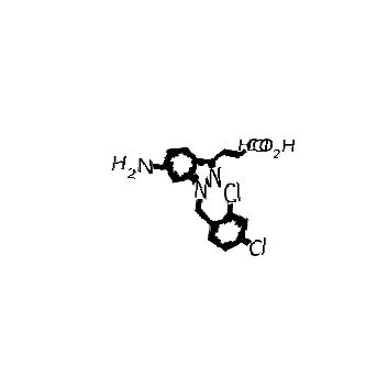 Cl.Nc1ccc2c(C=CC(=O)O)nn(Cc3ccc(Cl)cc3Cl)c2c1